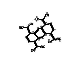 [C-]#[N+]C([N+]#[C-])=c1ccc(=C(C#N)C#N)c2cc3/c(=C(\C)C#N)ccc(=C([N+]#[C-])[N+]#[C-])c3cc12